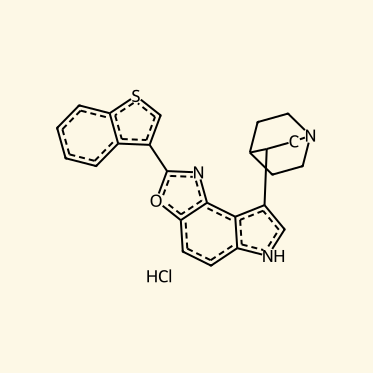 Cl.c1ccc2c(-c3nc4c(ccc5[nH]cc(C6CN7CCC6CC7)c54)o3)csc2c1